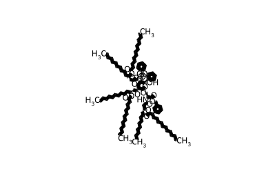 CCCCCCCCCCCCCC(=O)O[C@H](CCCCCCCCCCC)CC(=O)N[C@@H](CO[C@@H]1O[C@H](CO)[C@@H](OP(=O)(Oc2ccccc2)Oc2ccccc2)[C@H](OC(=O)C[C@@H](CCCCCCCCCCC)OC(=O)CCCCCCCCCCCCC)[C@H]1C(=O)C[C@@H](CCCCCCCCCCC)OC(=O)CCCCCCCCCCCCC)C(=O)OCc1ccccc1